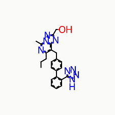 CCCc1nc(C)n2nc(CO)nc2c1Cc1ccc(-c2ccccc2-c2nnn[nH]2)cc1